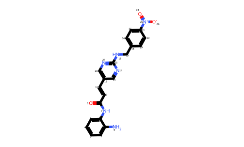 Nc1ccccc1NC(=O)/C=C/c1cnc(NCc2ccc([N+](=O)[O-])cc2)nc1